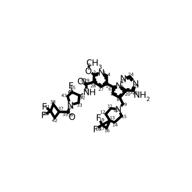 COc1ncc(-c2cc(CN3CCC4(CC3)CC4(F)F)c3c(N)ncnn23)cc1C(=O)N[C@@H]1CN(C(=O)C2CC(F)(F)C2)C[C@@H]1F